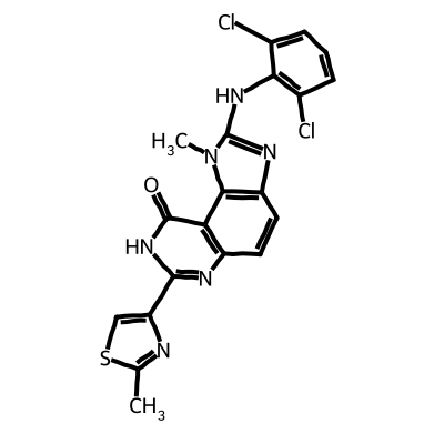 Cc1nc(-c2nc3ccc4nc(Nc5c(Cl)cccc5Cl)n(C)c4c3c(=O)[nH]2)cs1